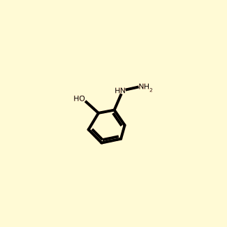 NNC1=CC=C=CC1O